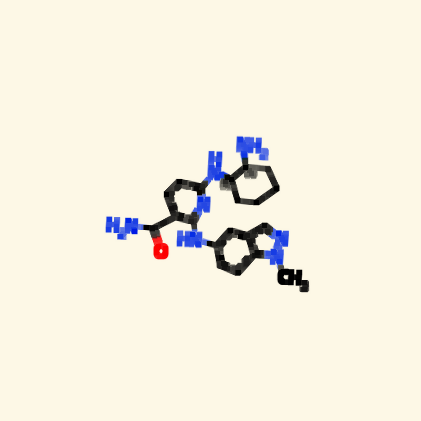 Cn1ncc2cc(Nc3nc(N[C@@H]4CCCC[C@@H]4N)ccc3C(N)=O)ccc21